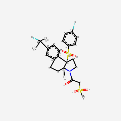 CC(C)S(=O)(=O)CC(=O)N1CC[C@@]2(S(=O)(=O)c3ccc(F)cc3)c3ccc(C(F)(C(F)(F)F)C(F)(F)F)cc3CC[C@@H]12